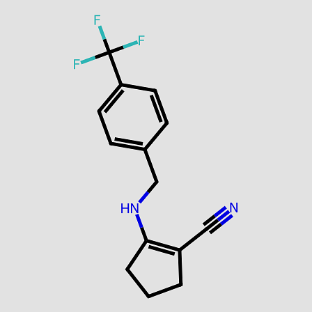 N#CC1=C(NCc2ccc(C(F)(F)F)cc2)CCC1